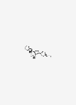 CN1CCN(c2ccc(NCc3ccccc3)c([N+](=O)[O-])c2)CC1